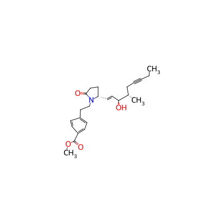 CCC#CC[C@H](C)[C@@H](O)C=C[C@H]1CCC(=O)N1CCc1ccc(C(=O)OC)cc1